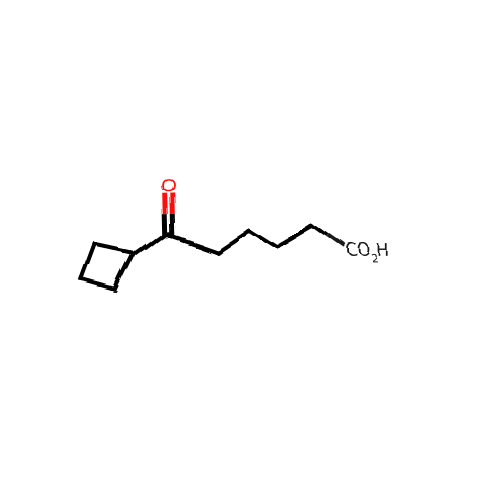 O=C(O)CCCCC(=O)C1CCC1